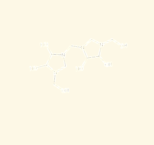 OCN1CN(CN2CN(CO)C(O)C2O)C(O)C1O